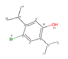 CC(C)c1cc(Br)c(C(C)C)cc1O